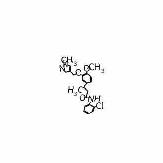 COc1ccc(C(C)CC(=O)Nc2ccccc2Cl)cc1OCc1cnn(C)c1